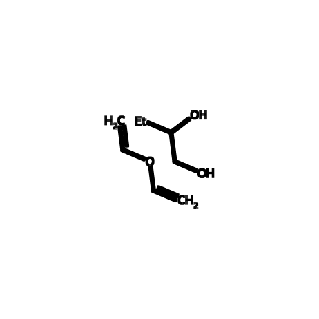 C=COC=C.CCC(O)CO